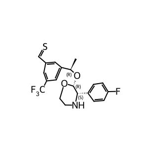 C[C@@H](O[C@H]1OCCN[C@H]1c1ccc(F)cc1)c1cc(C=S)cc(C(F)(F)F)c1